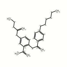 C=C(CCC)Cc1ccc(CC(=C)c2ccc(CCCCCC)cc2)c(C(=C)C)c1